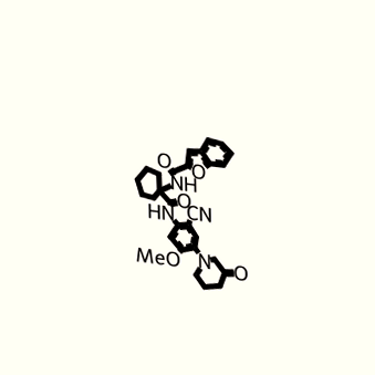 COc1cc(NC(=O)C2(NC(=O)c3cc4ccccc4o3)CCCCC2)c(C#N)cc1N1CCCC(=O)C1